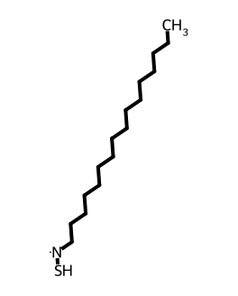 CCCCCCCCCCCCCCCC[N]S